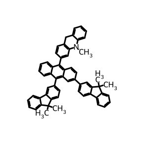 CN1c2ccccc2Cc2ccc(-c3c4ccccc4c(-c4ccc5c(c4)-c4ccccc4C5(C)C)c4cc(-c5ccc6c(c5)C(C)(C)c5ccccc5-6)ccc34)cc21